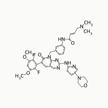 COc1cc(OC)c(F)c(-c2cc3cnc(Nc4ccc(N5CCOCC5)cn4)nc3n(Cc3cccc(NC(=O)/C=C/CN(C)C)c3)c2=O)c1F